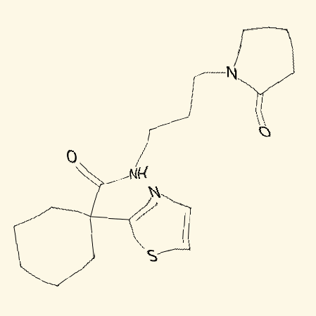 O=C1CCCN1CCCNC(=O)C1(c2nccs2)CCCCC1